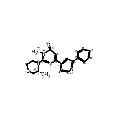 C[C@@H]1COCCN1c1nc(-c2ccnc(-c3ccccc3)c2)cc(=O)n1C